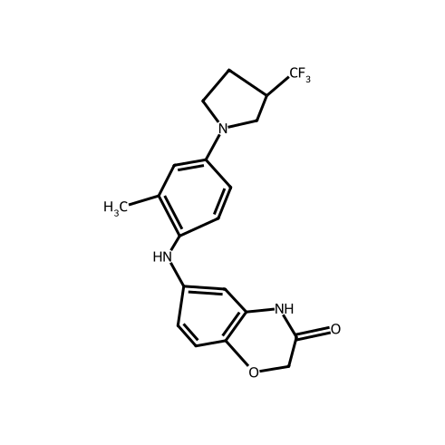 Cc1cc(N2CCC(C(F)(F)F)C2)ccc1Nc1ccc2c(c1)NC(=O)CO2